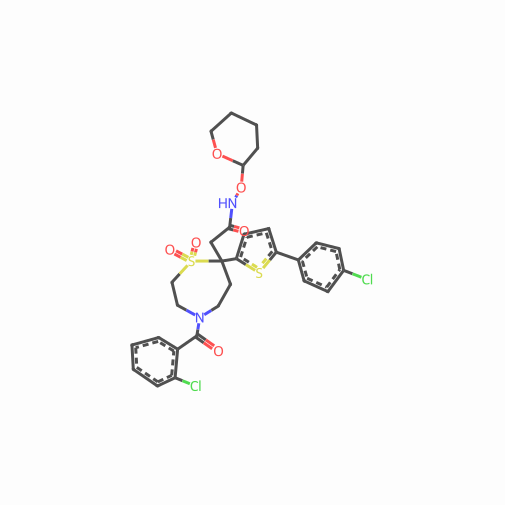 O=C(CC1(c2ccc(-c3ccc(Cl)cc3)s2)CCN(C(=O)c2ccccc2Cl)CCS1(=O)=O)NOC1CCCCO1